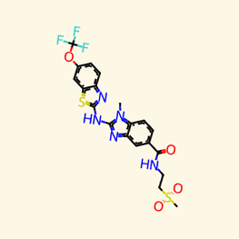 Cn1c(Nc2nc3ccc(OC(F)(F)F)cc3s2)nc2cc(C(=O)NCCS(C)(=O)=O)ccc21